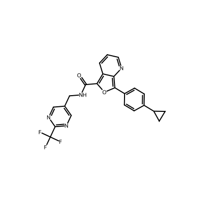 O=C(NCc1cnc(C(F)(F)F)nc1)c1oc(-c2ccc(C3CC3)cc2)c2ncccc12